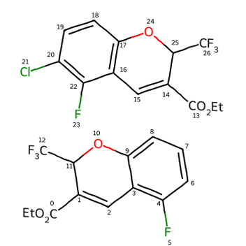 CCOC(=O)C1=Cc2c(F)cccc2OC1C(F)(F)F.CCOC(=O)C1=Cc2c(ccc(Cl)c2F)OC1C(F)(F)F